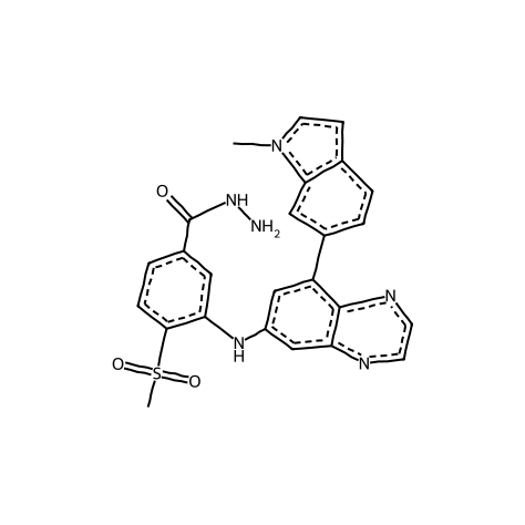 Cn1ccc2ccc(-c3cc(Nc4cc(C(=O)NN)ccc4S(C)(=O)=O)cc4nccnc34)cc21